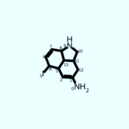 NC1=CC2C(I)C=CC3NCC(C1)C32